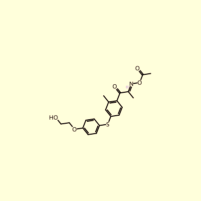 CC(=O)O/N=C(\C)C(=O)c1ccc(Sc2ccc(OCCO)cc2)cc1C